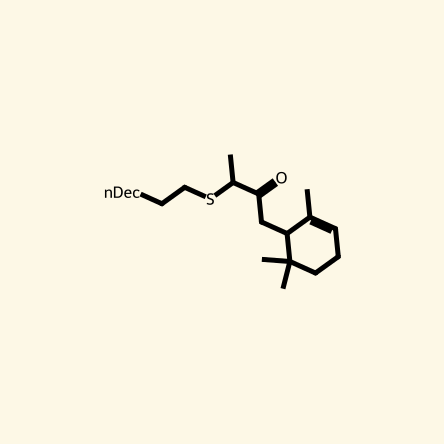 CCCCCCCCCCCCSC(C)C(=O)CC1C(C)=CCCC1(C)C